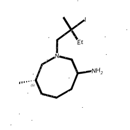 CCC(C)(I)CN1CC(N)CCC[C@H](C)C1